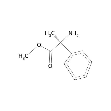 COC(=O)[C@@](C)(N)c1ccccc1